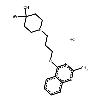 Cc1nc(OCCCN2CCC(O)(C(C)C)CC2)c2ccccc2n1.Cl